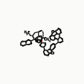 CCC1C/C(c2ccccc2)=C/CC(C)/C(c2ccc(-c3cccc4oc5cc(-c6cccc7c8cccc9oc%10cccc(c67)c%10c98)ccc5c34)cc2)=N\C1c1ccc2ccccc2c1